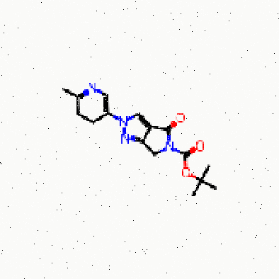 CC1=NC=C(n2cc3c(n2)CN(C(=O)OC(C)(C)C)C3=O)CC1